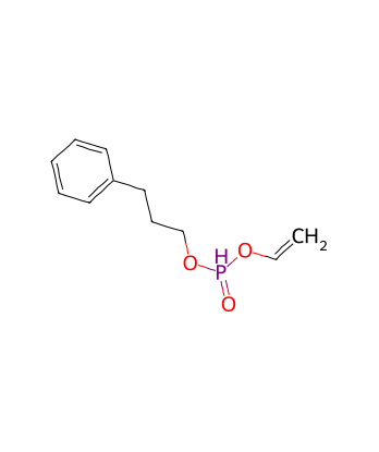 C=CO[PH](=O)OCCCc1ccccc1